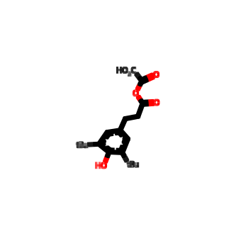 CC(C)(C)c1cc(CCC(=O)OC(=O)C(=O)O)cc(C(C)(C)C)c1O